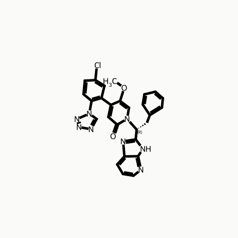 COc1cn([C@H](Cc2ccccc2)c2nc3cccnc3[nH]2)c(=O)cc1-c1cc(Cl)ccc1-n1cnnn1